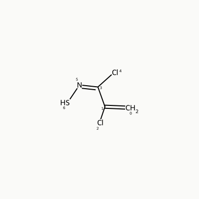 C=C(Cl)/C(Cl)=N\S